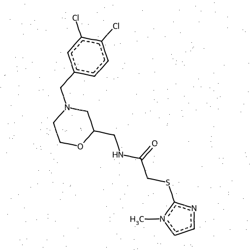 Cn1ccnc1SCC(=O)NCC1CN(Cc2ccc(Cl)c(Cl)c2)CCO1